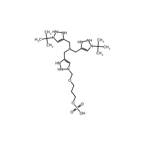 CC(C)(C)N1C=C(CN(CC2=CN(COCCCOS(=O)(=O)O)NN2)CC2=CN(C(C)(C)C)NN2)NN1